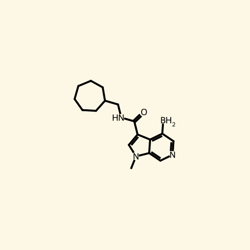 Bc1cncc2c1c(C(=O)NCC1CCCCCC1)cn2C